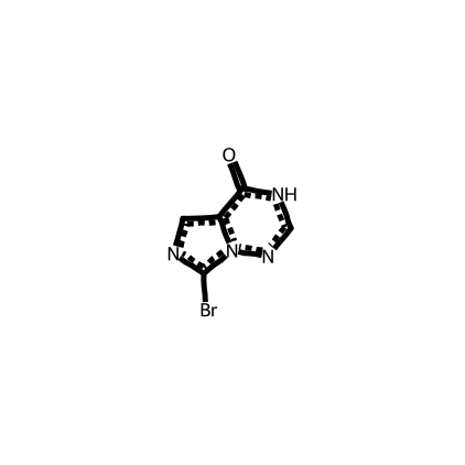 O=c1[nH]cnn2c(Br)ncc12